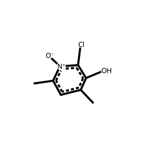 Cc1cc(C)[n+]([O-])c(Cl)c1O